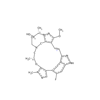 CCN1Cc2c(c(OC)nn2[C@@H](C)CO)/C=C/c2n[nH]c3cc(F)c(cc23)-c2cnn(C)c2O[C@H](C)C1